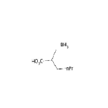 B.CCCCC(C)C(=O)O